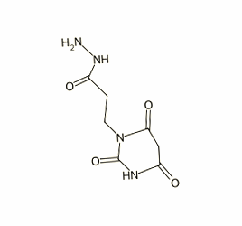 NNC(=O)CCN1C(=O)CC(=O)NC1=O